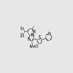 CCC(CC)c1cc(C)nn2c(-c3sc(-c4cccnc4)cc3OC)c(C)nc12